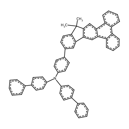 CC1(C)c2ccc(-c3ccc(N(c4ccc(-c5ccccc5)cc4)c4ccc(-c5ccccc5)cc4)cc3)cc2-c2cc3c4ccccc4c4ccccc4c3cc21